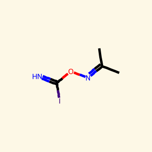 CC(C)=NOC(=N)I